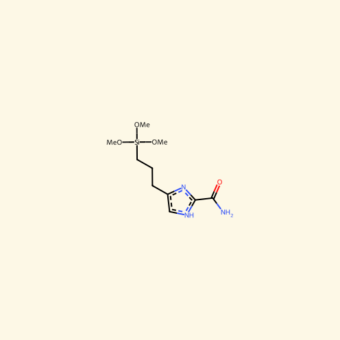 CO[Si](CCCc1c[nH]c(C(N)=O)n1)(OC)OC